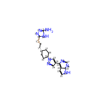 Nc1nnc(SCC[C@H]2CC[C@@H](n3cc(-c4ncnc5[nH]ccc45)cn3)CC2)[nH]1